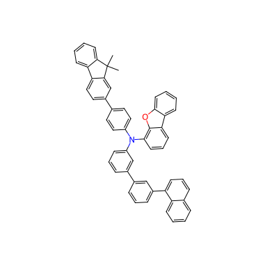 CC1(C)c2ccccc2-c2ccc(-c3ccc(N(c4cccc(-c5cccc(-c6cccc7ccccc67)c5)c4)c4cccc5c4oc4ccccc45)cc3)cc21